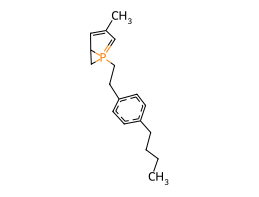 CCCCc1ccc(CCP23=CC(C)=CC2C3)cc1